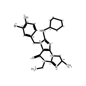 CCN1C(=O)c2c(nc(NC3CCCCC3)n2Cc2ccc(O)c(Br)c2)N2CC(C)N=C12